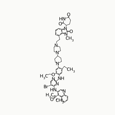 CCOc1cc(N2CCC(N3CCN(CCc4cccc5c4n(C)c(=O)n5C4CCC(=O)NC4=O)CC3)CC2)c(CC)cc1Nc1ncc(Br)c(Nc2cnc3ccccc3c2P(C)(C)=O)n1